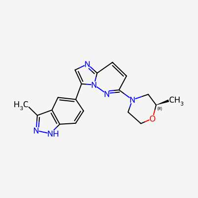 Cc1n[nH]c2ccc(-c3cnc4ccc(N5CCO[C@H](C)C5)nn34)cc12